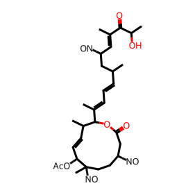 CC(=O)OC1/C=C/C(C)C(/C(C)=C/C=C/C(C)CC(/C=C(\C)C(=O)C(C)O)N=O)OC(=O)CC(N=O)CCC1(C)N=O